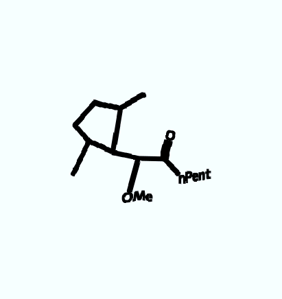 CCCCCC(=O)C(OC)C1C(C)CCC1C